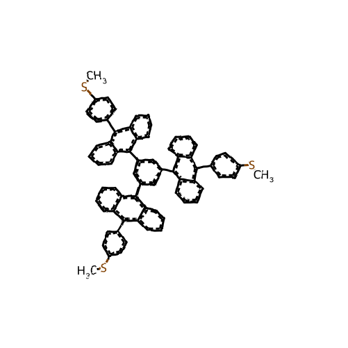 CSc1ccc(-c2c3ccccc3c(-c3cc(-c4c5ccccc5c(-c5ccc(SC)cc5)c5ccccc45)cc(-c4c5ccccc5c(-c5ccc(SC)cc5)c5ccccc45)c3)c3ccccc23)cc1